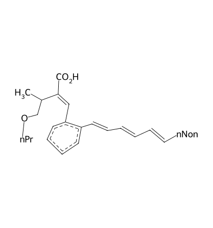 CCCCCCCCCC=CC=CC=Cc1ccccc1C=C(C(=O)O)C(C)COCCC